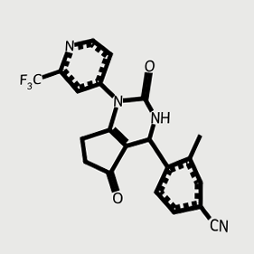 Cc1cc(C#N)ccc1C1NC(=O)N(c2ccnc(C(F)(F)F)c2)C2=C1C(=O)CC2